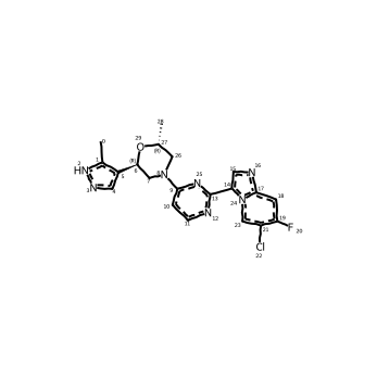 Cc1[nH]ncc1[C@@H]1CN(c2ccnc(-c3cnc4cc(F)c(Cl)cn34)n2)C[C@@H](C)O1